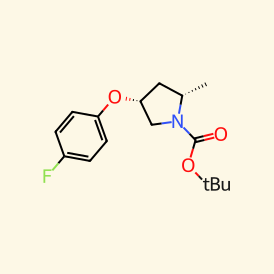 C[C@H]1C[C@@H](Oc2ccc(F)cc2)CN1C(=O)OC(C)(C)C